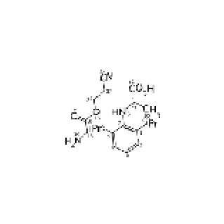 CC(C)c1cccc(C(C)C)c1N[C@@H](C)C(=O)O.N#CCCOC(=O)CN